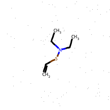 C=CSN(CC)CC